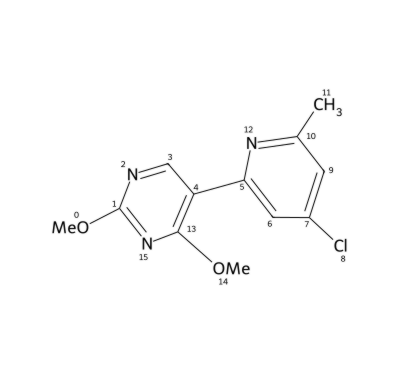 COc1ncc(-c2cc(Cl)cc(C)n2)c(OC)n1